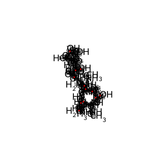 CC(C)NCCCCC(NC(=O)C1CCC(=O)NC(Cc2ccccc2)C(=O)NC(Cc2ccc(O)cc2)C(=O)NC(CCCCNC(C)C)C(=O)NC(CCCNC(=N)N)C(=O)NC(Cc2ccc3ccccc3c2)C(=O)NCC(=O)N1)C(=O)NC(CCCCNC(=O)[C@H](CCC(=O)O)NC(=O)C(CCC(=O)O)NC(=O)[C@H](CCC(=O)O)NC(=O)CN1CCN(CC(=O)O)CCN(CC(=O)O)CCN(CC(=O)O)CC1)C(N)=O